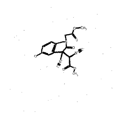 [C-]#[N+]C(C(=O)OC)C1([N+]#[C-])C(=O)N(CC(=O)OC)c2ccc(Cl)cc21